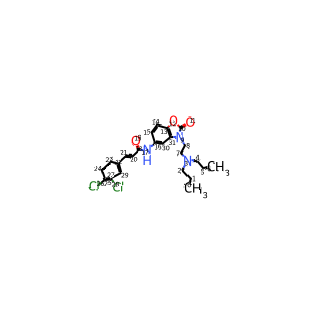 CCCN(CCC)CCn1c(=O)oc2ccc(NC(=O)C=Cc3ccc(Cl)c(Cl)c3)cc21